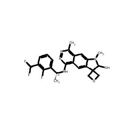 Cc1nnc(N[C@H](C)c2cccc(C(F)F)c2F)c2cc3c(cc12)N(C)C(O)C31COC1